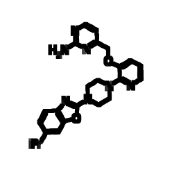 CC(C)c1ccc2nc(N3CCN(c4ncccc4OCc4ccnc(N)n4)CC3)oc2c1